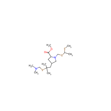 COC(=O)C1CC(CC(C)(C)SCN(C)C)CN1CSC(C)SC